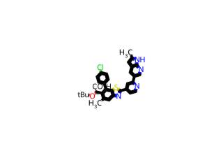 Cc1cc2cc(-c3cc(-c4nc5cc(C)c([C@H](OC(C)(C)C)C(=O)O)c(-c6ccc(Cl)cc6)c5s4)ccn3)cnc2[nH]1